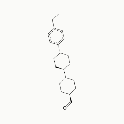 CCc1ccc([C@H]2CC[C@H]([C@H]3CC[C@H](C=O)CC3)CC2)cc1